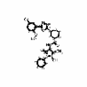 CCOc1ccc(Cl)cc1-c1nnc([C@@H]2C[C@H](C(=O)Nc3c(C)n(C)n(-c4ccccc4)c3=O)CCO2)o1